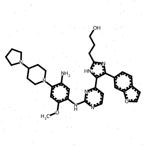 COc1cc(N2CCC(N3CCCC3)CC2)c(N)cc1Nc1nccc(-c2[nH]c(CCCO)nc2-c2ccc3ccoc3c2)n1